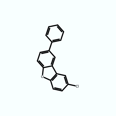 Clc1ccc2oc3ccc(-c4ccccc4)cc3c2c1